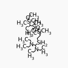 CCN(CC)C([SiH2]CC[Si](C)(C)O[Si](C)(C)C(C)[Si](C)(C)OC)N(CC)CC